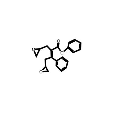 O=C(Oc1ccccc1)C(CC1CO1)=C(CC1CO1)c1ccccc1